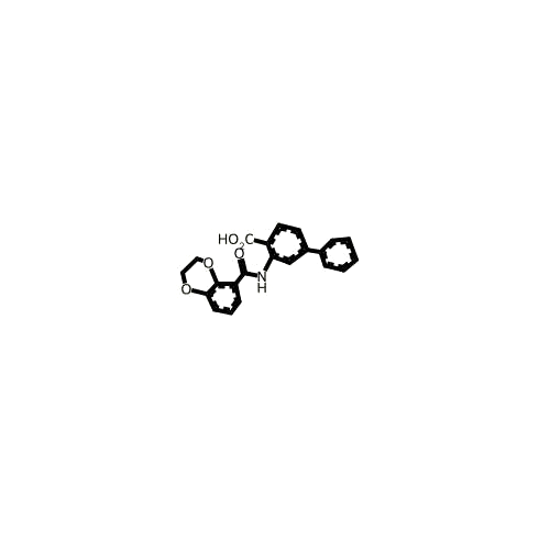 O=C(O)c1ccc(-c2ccccc2)cc1NC(=O)c1cccc2c1OCCO2